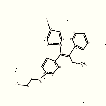 CCC(=C(c1ccc(I)cc1)c1ccc(OCCCl)cc1)c1ccccc1